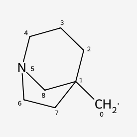 [CH2]C12CCCN(CC1)C2